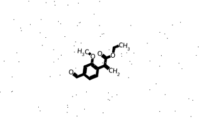 C=C(C(=O)OCC)c1ccc(C=O)cc1OC